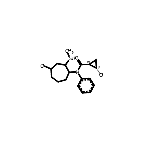 CNC1CC(Cl)CCCC1N(C(=O)[C@H]1C[C@@H]1Cl)c1ccccc1